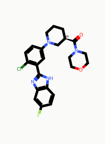 O=C([C@@H]1CCCN(c2ccc(Cl)c(-c3nc4cc(F)ccc4[nH]3)c2)C1)N1CCOCC1